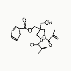 C=C(C)C(=O)OCC(CO)(COC(=O)C(=C)C)COC(=O)c1ccccc1